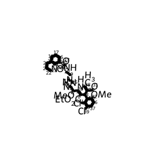 CCOC(=O)C1=C(C(OC)c2nnn(CCNS(=O)(=O)c3cccc4cccnc34)n2)NC(C)=C(C(=O)OC)C1c1cccc(Cl)c1Cl